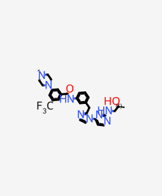 C[C@H](O)CNc1nccc(-n2ccnc2Cc2cccc(NC(=O)c3cc(N4CCN(C)CC4)cc(C(F)(F)F)c3)c2)n1